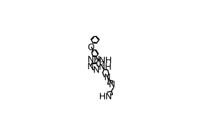 N=C(c1ccc(Oc2ccccc2)cc1)c1c(N)ncnc1NC1CCN(C2CN(CC3CNC3)C2)CC1